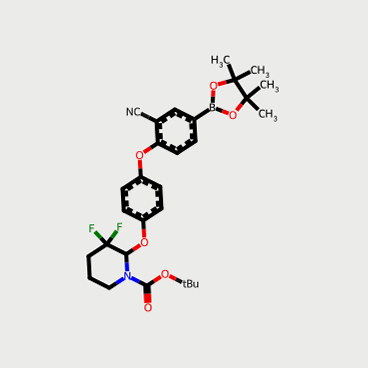 CC(C)(C)OC(=O)N1CCCC(F)(F)C1Oc1ccc(Oc2ccc(B3OC(C)(C)C(C)(C)O3)cc2C#N)cc1